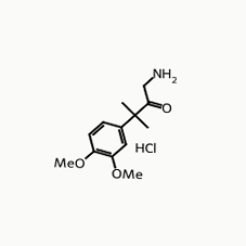 COc1ccc(C(C)(C)C(=O)CN)cc1OC.Cl